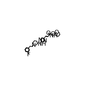 O=C(/C=C/c1cnc(N[C@@H]2CCCN(CCc3cccc(F)c3)C2)cn1)NOC1CCCCO1